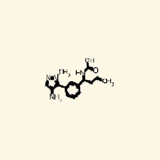 C=CCC(NC(=O)O)c1cccc(-c2c(N)cnn2C)c1